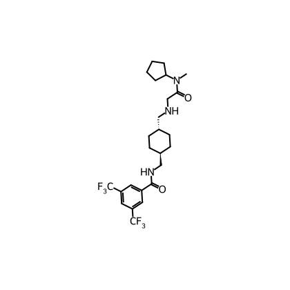 CN(C(=O)CNC[C@H]1CC[C@H](CNC(=O)c2cc(C(F)(F)F)cc(C(F)(F)F)c2)CC1)C1CCCC1